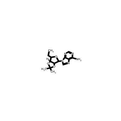 CCC1OC(n2cnc3c(N)ncnc32)C2OC(C)(C)O[C@H]12